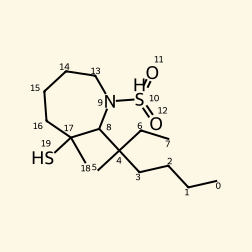 CCCCC(C)(CC)C1N([SH](=O)=O)CCCCC1(C)S